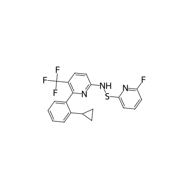 Fc1cccc(SNc2ccc(C(F)(F)F)c(-c3ccccc3C3CC3)n2)n1